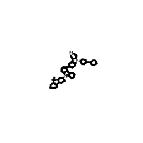 CC1(C)c2ccccc2-c2ccc(-n3c4ccccc4c4c(-c5ccc6c(c5)c5cnccc5n6-c5ccc(-c6ccccc6)cc5)cccc43)cc21